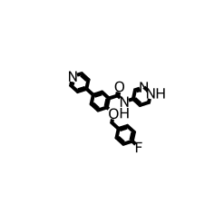 O=C(NC1=CCNN=C1)c1cc(-c2ccncc2)ccc1OCc1ccc(F)cc1